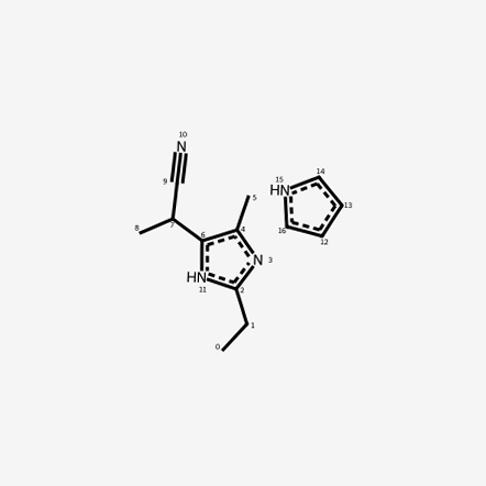 CCc1nc(C)c(C(C)C#N)[nH]1.c1cc[nH]c1